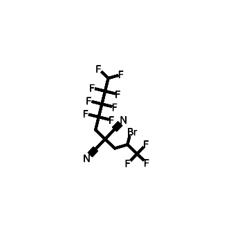 N#CC(C#N)(CC(Br)C(F)(F)F)CC(F)(F)C(F)(F)C(F)(F)C(F)F